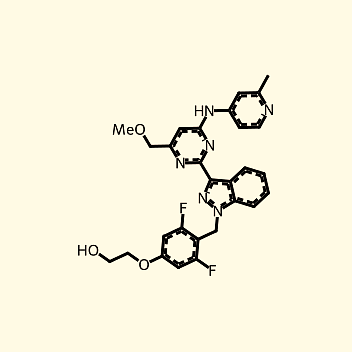 COCc1cc(Nc2ccnc(C)c2)nc(-c2nn(Cc3c(F)cc(OCCO)cc3F)c3ccccc23)n1